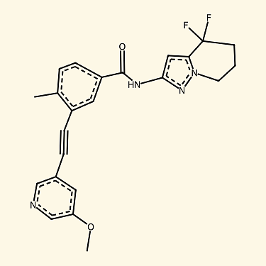 COc1cncc(C#Cc2cc(C(=O)Nc3cc4n(n3)CCCC4(F)F)ccc2C)c1